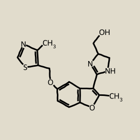 Cc1ncsc1COc1ccc2oc(C)c(C3=NC(CO)CN3)c2c1